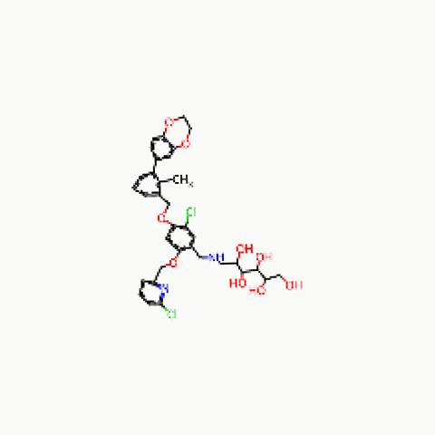 Cc1c(COc2cc(OCc3cccc(Cl)n3)c(CNCC(O)C(O)C(O)C(O)CO)cc2Cl)cccc1-c1ccc2c(c1)OCCO2